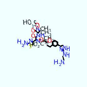 CC1(C)C(NC(=O)/C(=N\O[C@](C)(C(=O)O)[C@H]2CCc3cc(C4CNC(NCCN)=N4)ccc3O2)c2csc(N)n2)C(=O)N1OS(=O)(=O)O